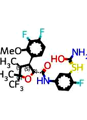 COc1c([C@H]2[C@H](C(=O)Nc3ccc(F)c([SH]=C(N)O)c3)O[C@@](C)(C(F)(F)F)[C@H]2C)ccc(F)c1F